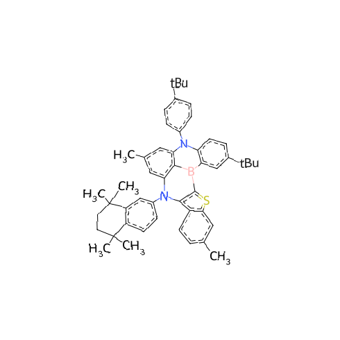 Cc1cc2c3c(c1)N(c1ccc4c(c1)C(C)(C)CCC4(C)C)c1c(sc4cc(C)ccc14)B3c1cc(C(C)(C)C)ccc1N2c1ccc(C(C)(C)C)cc1